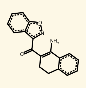 NC1=C(C(=O)c2noc3ccccc23)CCc2ccccc21